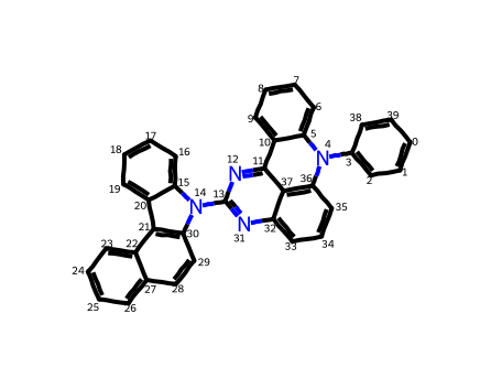 c1ccc(N2c3ccccc3-c3nc(-n4c5ccccc5c5c6ccccc6ccc54)nc4cccc2c34)cc1